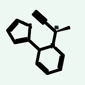 C#C[C@H](C)N1C=CC=CC1c1cccs1